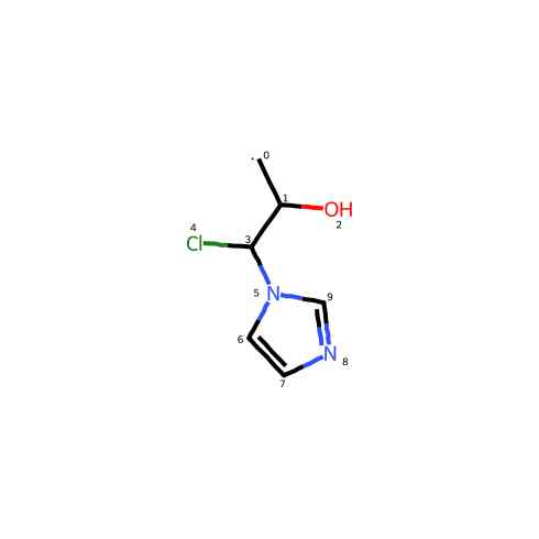 [CH2]C(O)C(Cl)n1ccnc1